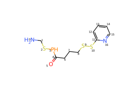 NCSPC(=O)CCCSSc1ccccn1